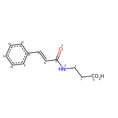 O=C(O)CCNC(=O)C=Cc1ccccc1